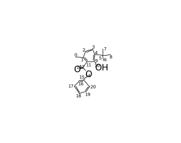 Cc1ccc(C(C)(C)C)c(O)c1C(=O)Oc1ccccc1